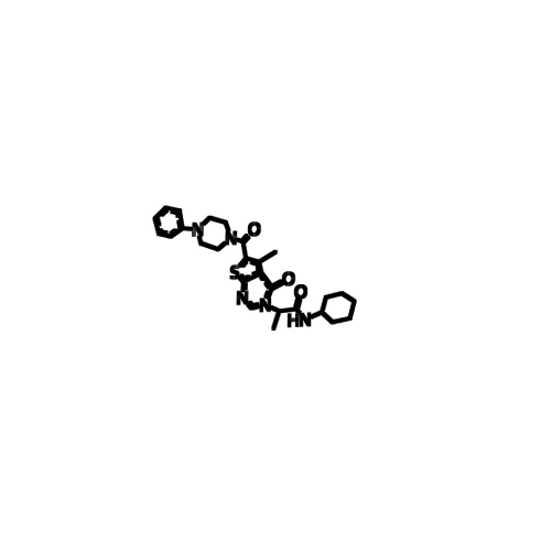 Cc1c(C(=O)N2CCN(c3ccccc3)CC2)sc2ncn(C(C)C(=O)NC3CCCCC3)c(=O)c12